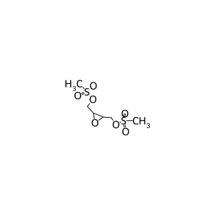 CS(=O)(=O)OCC1OC1COS(C)(=O)=O